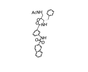 CC(=O)NCC(=O)[C@H](Cc1ccccc1)NC(=O)c1cccc(NS(=O)(=O)c2ccc3ccccc3c2)c1